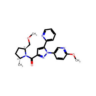 COC[C@@H]1CC[C@@H](C)N1C(=O)c1cc(-c2ccccn2)n(-c2ccc(OC)nc2)n1